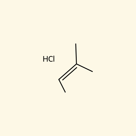 CC=C(C)C.Cl